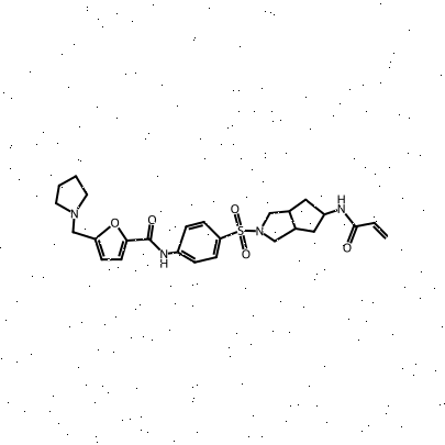 C=CC(=O)NC1CC2CN(S(=O)(=O)c3ccc(NC(=O)c4ccc(CN5CCCC5)o4)cc3)CC2C1